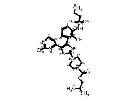 CCCS(=O)(=O)Nc1cccc(-c2nc(N3CCN(C(=O)OCC(C)C)CC3)sc2-c2ccnc(Cl)n2)c1Cl